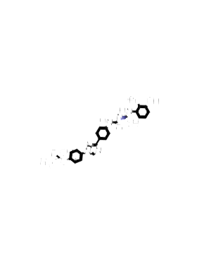 Cc1cccc(N/C(S)=N/C(=O)Nc2ccc(-c3ncn(-c4ccc(OC(C)(C)F)cc4)n3)cc2)c1C(C)C